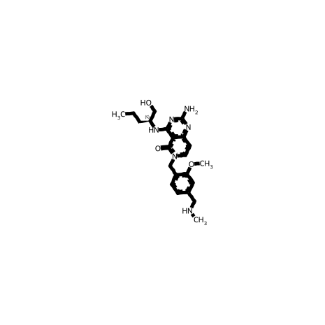 CCC[C@@H](CO)Nc1nc(N)nc2ccn(Cc3ccc(CNC)cc3OC)c(=O)c12